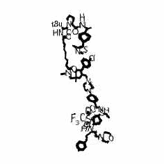 C/C=S(/NC(=O)c1ccc(N2CCN(CC3=C(c4ccc(Cl)cc4)CCC(C)(CN(C)C(=O)CCCCCCCC(=O)NC(C(=O)N4CCCC4C(=O)NC(C)c4ccc(-c5scnc5C)cc4)C(C)(C)C)C3)CC2)cc1)c1ccc(NC(CCc2ccccc2)CCN2CCOCC2)c(S(=O)(=O)C(F)(F)F)c1